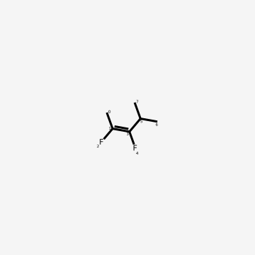 C/C(F)=C(/F)C(C)C